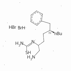 Br.Br.CCCC[C@@H](CCC(CN)N=C(N)S)Cc1ccccc1